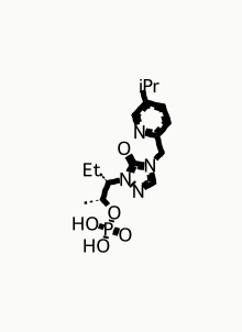 CC[C@@H]([C@@H](C)OP(=O)(O)O)n1ncn(Cc2ccc(C(C)C)cn2)c1=O